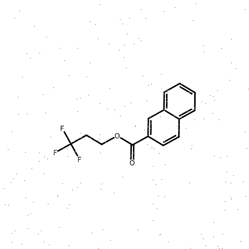 O=C(OCCC(F)(F)F)c1ccc2ccccc2c1